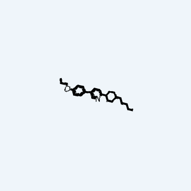 CCCCCC1CCC(c2ccc(-c3ccc(OCCC)cc3)cn2)CC1